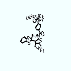 CCCCN(CC)S(=O)(=O)c1ccc(C(=O)Nc2sc3c(c2-c2nc4ccccc4s2)CCN(CC)C3)cc1